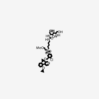 COCCN(CCCCCNC(=O)NC(CO)C(O)C(O)C(O)CO)S(=O)(=O)c1ccc(Cl)c(COC2(c3cnccc3-c3ccccc3OC3CC3)CC2)c1